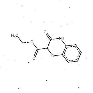 CCOC(=O)C1Oc2ccccc2NC1=O